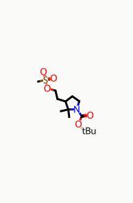 CC(C)(C)OC(=O)N1CCC(CCOS(C)(=O)=O)C1(C)C